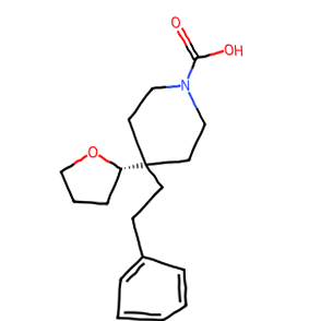 O=C(O)N1CCC(CCc2ccccc2)([C@@H]2CCCO2)CC1